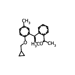 C/C=C(/c1cc(C)ccc1OCC1CC1)c1ccccc1C(C)=O